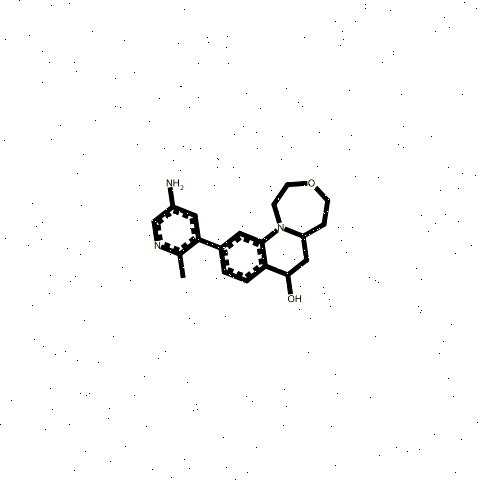 Cc1ncc(N)cc1-c1ccc2c(c1)N1CCOCCC1CC2O